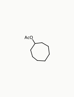 [CH2]C(=O)OC1CCCCCCC1